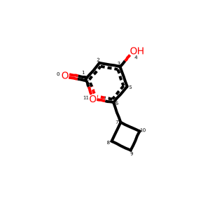 O=c1cc(O)cc(C2CCC2)o1